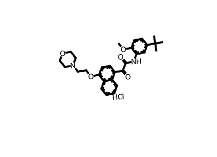 COc1ccc(C(C)(C)C)cc1NC(=O)C(=O)c1ccc(OCCN2CCOCC2)c2ccccc12.Cl